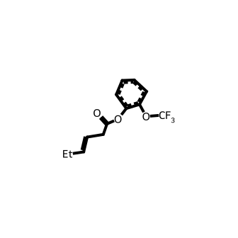 CCC=CCC(=O)Oc1ccccc1OC(F)(F)F